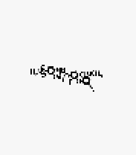 COc1cc(C#N)cc(Oc2c(Cl)ccc(OCC(=O)Nc3ccc(S(N)(=O)=O)cc3C)c2F)c1